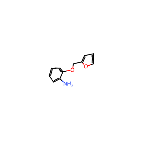 Nc1ccccc1OCc1ccco1